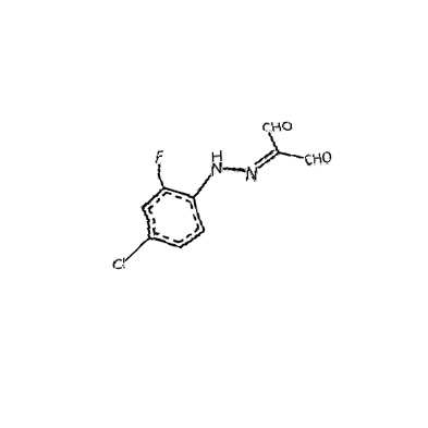 O=CC(C=O)=NNc1ccc(Cl)cc1F